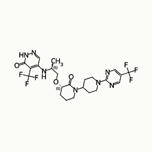 C[C@@H](CO[C@H]1CCCN(C2CCN(c3ncc(C(F)(F)F)cn3)CC2)C1=O)Nc1cn[nH]c(=O)c1C(F)(F)F